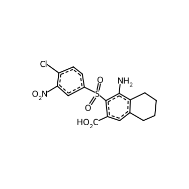 Nc1c2c(cc(C(=O)O)c1S(=O)(=O)c1ccc(Cl)c([N+](=O)[O-])c1)CCCC2